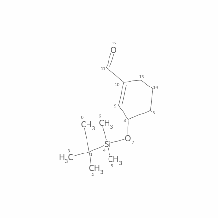 CC(C)(C)[Si](C)(C)OC1C=C(C=O)CCC1